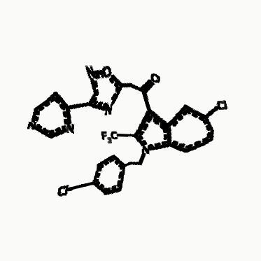 O=C(c1nc(-c2ccncn2)no1)c1c(C(F)(F)F)n(Cc2ccc(Cl)cc2)c2ccc(Cl)cc12